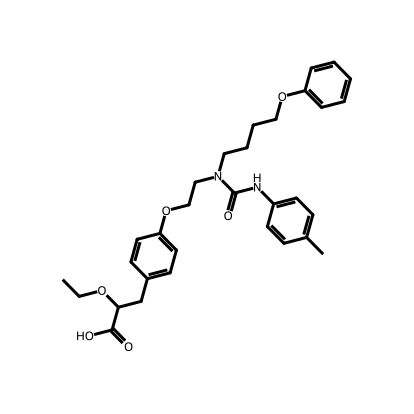 CCOC(Cc1ccc(OCCN(CCCCOc2ccccc2)C(=O)Nc2ccc(C)cc2)cc1)C(=O)O